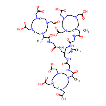 CNCC(CNC(=O)CNC(=O)[C@@H](C)N1CCN(CC=O)CCN(CC(=O)O)CCN(CC(=O)O)CC1)(CNC(=O)CNC(=O)[C@@H](C)N1CCN(CC(=O)O)CCN(CC(=O)O)CCN(CC(=O)O)CC1)CNC(=O)CNC(=O)[C@@H](C)N1CCN(CC(=O)O)CCN(CC(=O)O)CCN(CC(=O)O)CC1